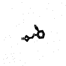 N#Cc1ccccc1OCC1CNC1